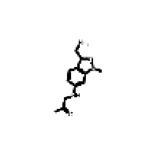 CB1OC(CN)c2ccc(NCC(C)=O)cc21